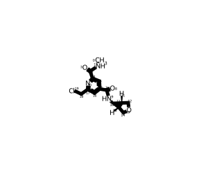 CNC(=O)c1cc(C(=O)N[C@H]2[C@@H]3COC[C@@H]32)cc(CCl)n1